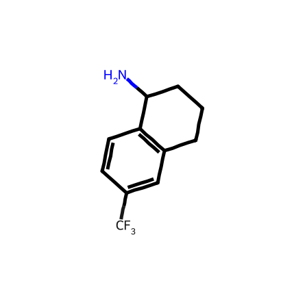 NC1CCCc2cc(C(F)(F)F)ccc21